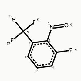 O=Nc1c(F)cccc1C(F)(F)F